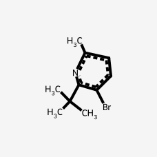 Cc1ccc(Br)c(C(C)(C)C)n1